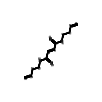 C=CCCOC(=O)/C=C/C(=O)OCCC=C